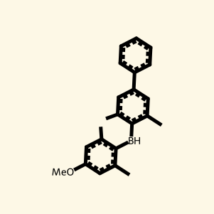 COc1cc(C)c(Bc2c(C)cc(-c3ccccc3)cc2C)c(C)c1